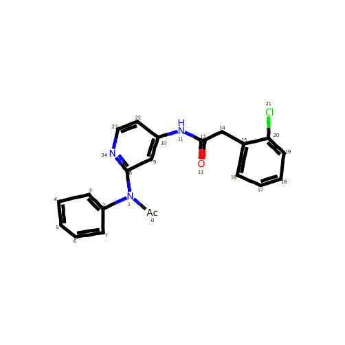 CC(=O)N(c1ccccc1)c1cc(NC(=O)Cc2ccccc2Cl)ccn1